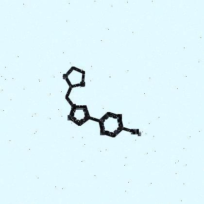 Nc1cnc(-c2cnn(CC3OCCO3)c2)cn1